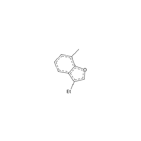 [CH2]Cc1coc2c(C)cccc12